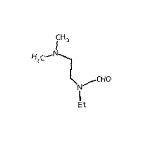 CCN([C]=O)CCN(C)C